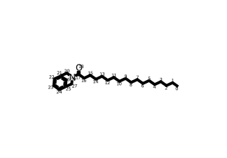 CCCCCCCCCCCCCCCCCC(=O)N1Cc2cccc(c2)C1